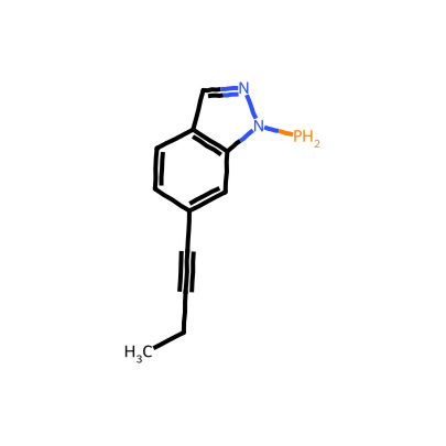 CCC#Cc1ccc2cnn(P)c2c1